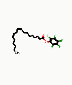 CCCCC/C=C\C/C=C\CCCCCCCC(=O)Oc1c(F)c(F)c(F)c(F)c1F